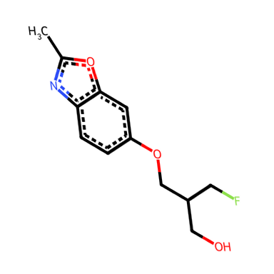 Cc1nc2ccc(OCC(CO)CF)cc2o1